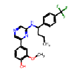 CCCC(Nc1cncc(-c2ccc(O)c(OC)c2)n1)c1ccc(C(F)(F)F)cc1